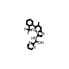 Cc1cc2ncc(NC(O)c3ncccn3)n2nc1-c1ccccc1C(F)(F)F